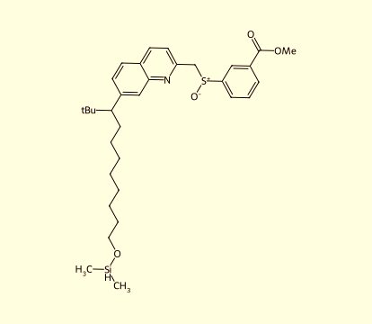 COC(=O)c1cccc([S+]([O-])Cc2ccc3ccc(C(CCCCCCCCO[SiH](C)C)C(C)(C)C)cc3n2)c1